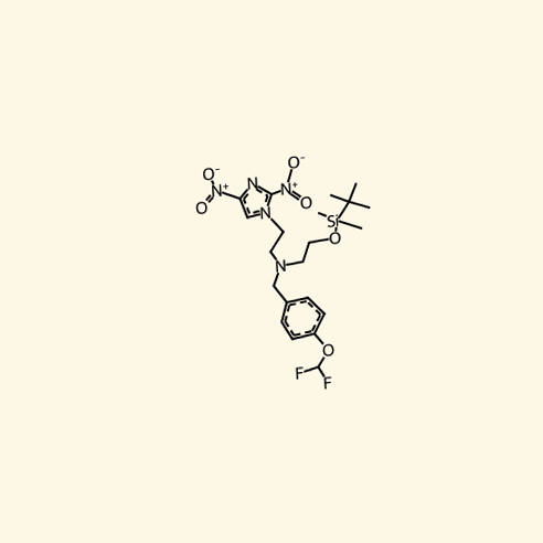 CC(C)(C)[Si](C)(C)OCCN(CCn1cc([N+](=O)[O-])nc1[N+](=O)[O-])Cc1ccc(OC(F)F)cc1